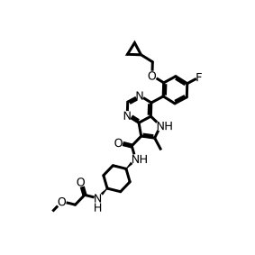 COCC(=O)N[C@H]1CC[C@@H](NC(=O)c2c(C)[nH]c3c(-c4ccc(F)cc4OCC4CC4)ncnc23)CC1